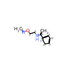 C=NOCCNC(=C)C1=CC=CCC1